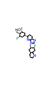 O=NCc1c(F)cc(-c2ccc3ncn(Cc4cc5cccnc5cc4F)c3n2)cc1F